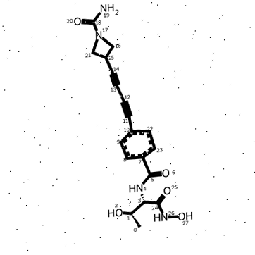 C[C@@H](O)[C@H](NC(=O)c1ccc(C#CC#CC2CN(C(N)=O)C2)cc1)C(=O)NO